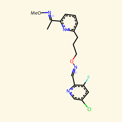 CO/N=C(\C)c1cccc(CCCO/N=C/c2ncc(Cl)cc2F)n1